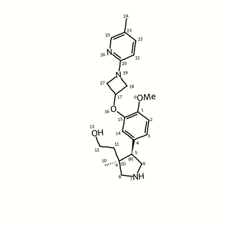 COc1ccc([C@H]2CNC[C@@]2(C)CCO)cc1OC1CN(c2ccc(C)cn2)C1